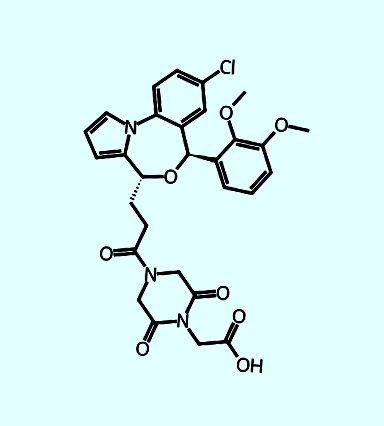 COc1cccc([C@H]2O[C@H](CCC(=O)N3CC(=O)N(CC(=O)O)C(=O)C3)c3cccn3-c3ccc(Cl)cc32)c1OC